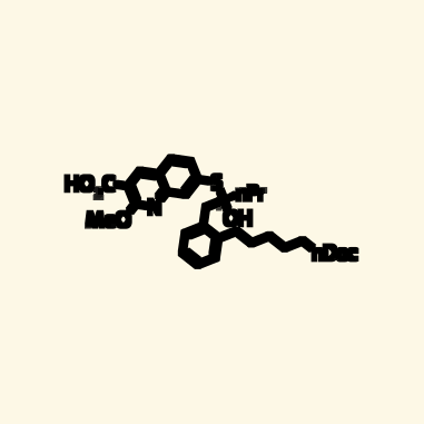 CCCCCCCCCCCCCCCc1ccccc1C[C@](O)(CCC)Sc1ccc2cc(C(=O)O)c(OC)nc2c1